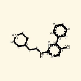 Clc1cnc(NCCC2CCNCC2)nc1-c1ccccc1